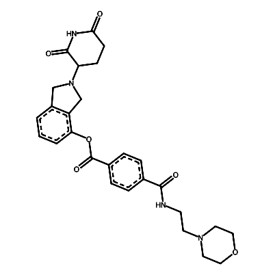 O=C1CCC(N2Cc3cccc(OC(=O)c4ccc(C(=O)NCCN5CCOCC5)cc4)c3C2)C(=O)N1